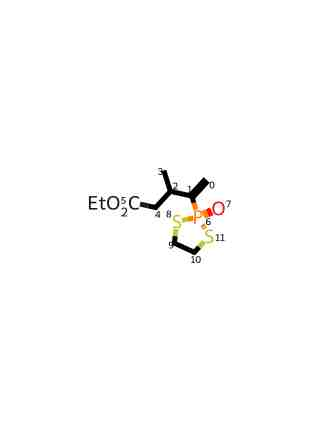 C=C(C(C)CC(=O)OCC)P1(=O)SCCS1